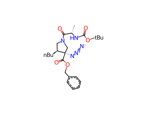 CCCC[C@H]1CN(C(=O)[C@H](C)NC(=O)OC(C)(C)C)C[C@@]1(N=[N+]=[N-])C(=O)OCc1ccccc1